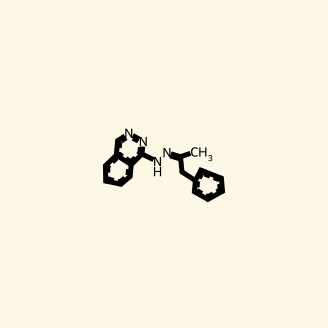 C/C(Cc1ccccc1)=N/Nc1nncc2ccccc12